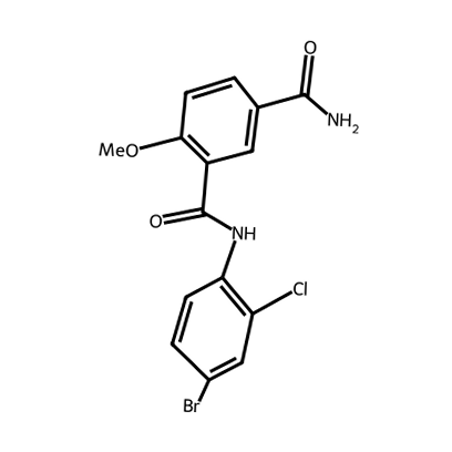 COc1ccc(C(N)=O)cc1C(=O)Nc1ccc(Br)cc1Cl